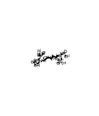 O=[PH](O)CN(CCCCCCN(CP(=O)(O)O)CP(=O)(O)O)CP(=O)(O)O